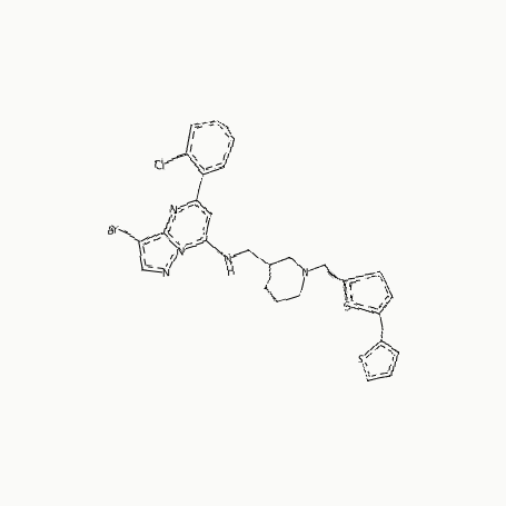 Clc1ccccc1-c1cc(NCC2CCCN(Cc3ccc(-c4cccs4)s3)C2)n2ncc(Br)c2n1